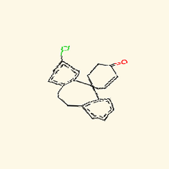 O=C1C=CC2(CC1)c1ccccc1CCc1ccc(Cl)cc12